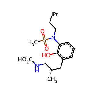 CC(C)CCN(c1cccc(C[C@H](C)CNC(=O)O)c1O)S(C)(=O)=O